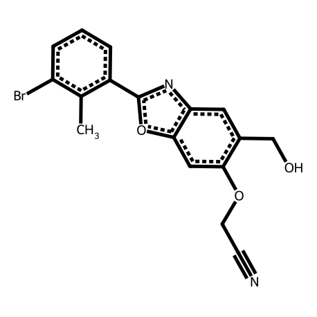 Cc1c(Br)cccc1-c1nc2cc(CO)c(OCC#N)cc2o1